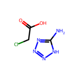 Nc1nnn[nH]1.O=C(O)CCl